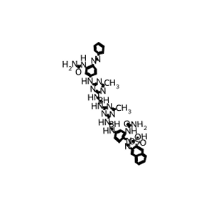 Cc1nc(NBNc2ccc(N=Nc3cc4ccccc4cc3S(=O)(=O)O)c(NC(N)=O)c2)nc(NBNc2nc(C)nc(Nc3ccc(N=Nc4ccccc4)c(NC(N)=O)c3)n2)n1